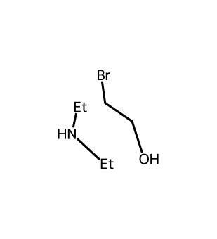 CCNCC.OCCBr